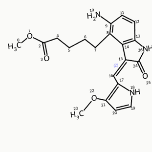 COC(=O)CCCCc1c(N)ccc2c1/C(=C/c1[nH]ccc1OC)C(=O)N2